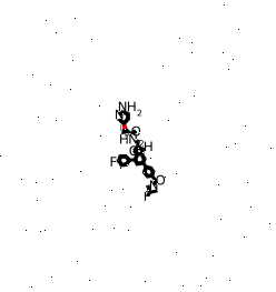 [2H]c1c(CNC(=O)[C@H]2C[C@@H]2c2ccc(N)nc2)oc2c(-c3ccc(F)cc3)cc(-c3ccc(C(=O)N4CC(F)C4)cc3)cc12